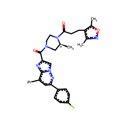 Cc1noc(C)c1CCC(=O)N1CCN(C(=O)c2cn3nc(-c4ccc(F)cc4)cc(C(C)C)c3n2)C[C@@H]1C